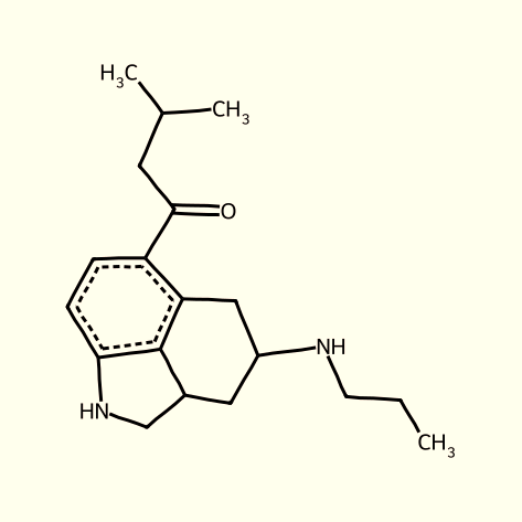 CCCNC1Cc2c(C(=O)CC(C)C)ccc3c2C(CN3)C1